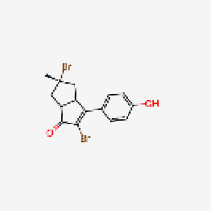 C[C@]1(Br)CC2C(=O)C(Br)=C(c3ccc(O)cc3)C2C1